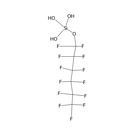 O[Si](O)(O)OC(F)(F)C(F)(F)C(F)(F)C(F)(F)C(F)(F)C(F)(F)F